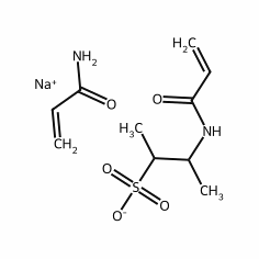 C=CC(=O)NC(C)C(C)S(=O)(=O)[O-].C=CC(N)=O.[Na+]